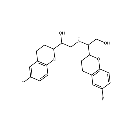 OCC(NCC(O)C1CCc2cc(F)ccc2O1)C1CCc2cc(F)ccc2O1